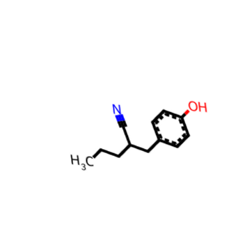 CCCC(C#N)Cc1ccc(O)cc1